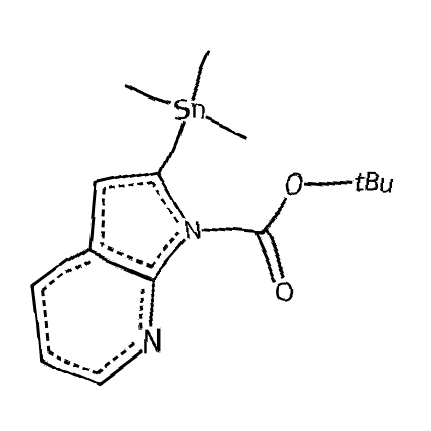 CC(C)(C)OC(=O)n1[c]([Sn]([CH3])([CH3])[CH3])cc2cccnc21